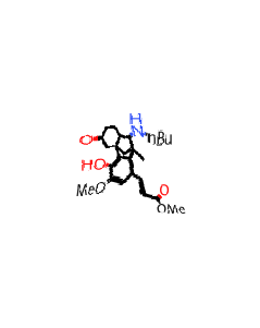 CCCCNC1C2CCC(=O)C[C@]23CC1(C)c1c(/C=C/C(=O)OC)cc(OC)c(O)c13